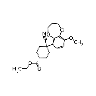 CCOC(=O)[C@H]1CC[C@@](C#N)(c2ccc(OC)c3c2OCCCO3)CC1